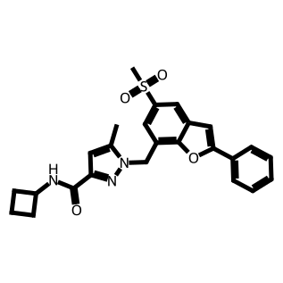 Cc1cc(C(=O)NC2CCC2)nn1Cc1cc(S(C)(=O)=O)cc2cc(-c3ccccc3)oc12